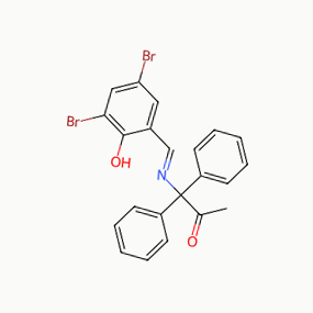 CC(=O)C(/N=C/c1cc(Br)cc(Br)c1O)(c1ccccc1)c1ccccc1